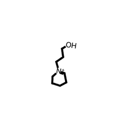 OCCC[N+]1=CCCCC1